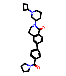 O=C(c1ccc(-c2ccc3c(c2)CCN([C@@H]2CCCN(C4CCC4)C2)C3=O)cc1)N1CCCC1